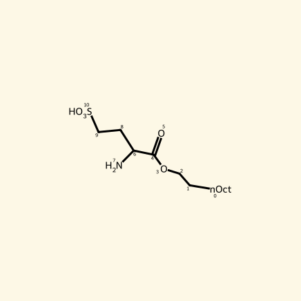 CCCCCCCCCCOC(=O)C(N)CCS(=O)(=O)O